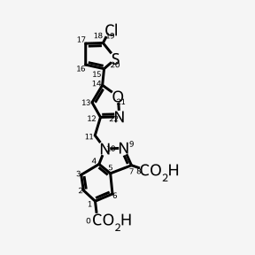 O=C(O)c1ccc2c(c1)c(C(=O)O)nn2Cc1cc(-c2ccc(Cl)s2)on1